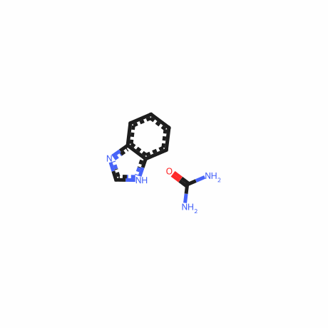 NC(N)=O.c1ccc2[nH]cnc2c1